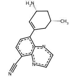 C[C@@H]1CC(c2ccc(C#N)c3nccnc23)=C[C@H](N)C1